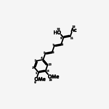 COc1ccc(C=CC=CC(O)=CC(C)=O)cc1OC